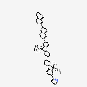 CC1(C)c2cc(-c3ccc4c(c3)C(C)(C)c3cc(-c5ccccn5)ccc3-4)ccc2-c2ccc(-c3ccc4cc(-c5ccc6ccccc6c5)ccc4c3)cc21